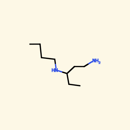 CCCCNC(CC)CCN